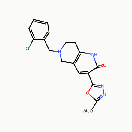 COc1nnc(-c2cc3c([nH]c2=O)CCN(Cc2ccccc2Cl)C3)o1